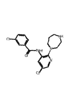 O=C(Nc1cc(Cl)cnc1N1CCCNCC1)c1cccc(Cl)c1